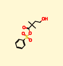 CC(C)(CCO)C(=O)OS(=O)(=O)c1ccccc1